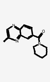 Cc1cnc2ccc(C(=O)N3CCCCC3)cc2n1